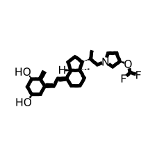 C=C1/C(=C\C=C2/CCC[C@]3(C)[C@@H](C(C)CN4CC[C@@H](OC(F)F)C4)CC[C@@H]23)C[C@@H](O)C[C@@H]1O